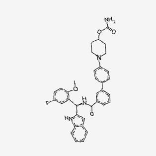 COc1ccc(F)cc1[C@@H](NC(=O)c1cccc(-c2ccc(N3CCC(OC(N)=O)CC3)cc2)c1)c1cc2ccccc2[nH]1